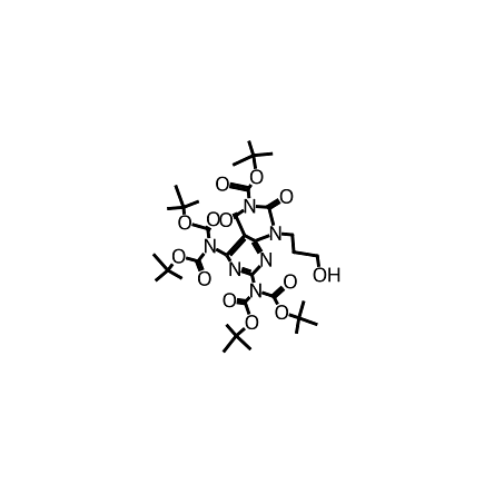 CC(C)(C)OC(=O)N(C(=O)OC(C)(C)C)c1nc(N(C(=O)OC(C)(C)C)C(=O)OC(C)(C)C)c2c(=O)n(C(=O)OC(C)(C)C)c(=O)n(CCCO)c2n1